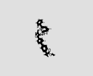 CCOC(=O)C1(c2ccc(-c3ccc(-c4onc(C)c4Nc4cccc(-c5ccccc5F)n4)cc3)cc2)CC1